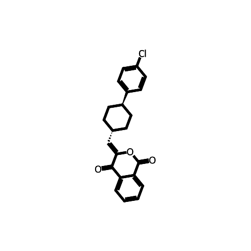 O=C1OC(=C[C@H]2CC[C@H](c3ccc(Cl)cc3)CC2)C(=O)c2ccccc21